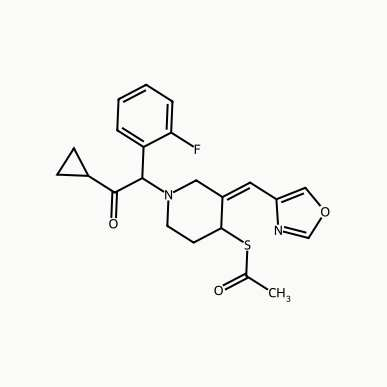 CC(=O)SC1CCN(C(C(=O)C2CC2)c2ccccc2F)C/C1=C/c1cocn1